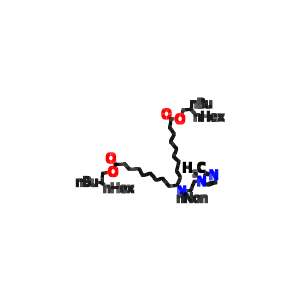 CCCCCCCCCN(CCn1ccnc1C)C(CCCCCCCCC(=O)OCC(CCCC)CCCCCC)CCCCCCCCC(=O)OCC(CCCC)CCCCCC